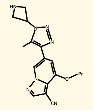 Cc1c(-c2cc(OC(C)C)c3c(C#N)cnn3c2)nnn1C1CNC1